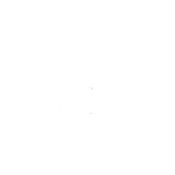 COC(O)[C@H](C)NC(=O)OC(C)(C)C